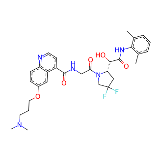 Cc1cccc(C)c1NC(=O)C(O)[C@@H]1CC(F)(F)CN1C(=O)CNC(=O)c1ccnc2ccc(OCCCN(C)C)cc12